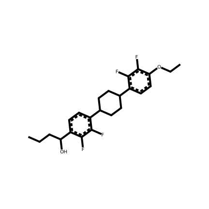 CCCC(O)c1ccc(C2CCC(c3ccc(OCC)c(F)c3F)CC2)c(F)c1F